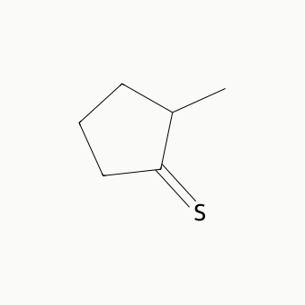 CC1CCCC1=S